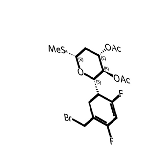 CS[C@@H]1C[C@H](OC(C)=O)[C@@H](OC(C)=O)[C@H](C2CC(CBr)=C(F)C=C2F)O1